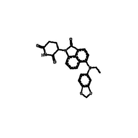 CCN(c1ccc2c(c1)OCO2)c1ccc2c3c(cccc13)N(C1CCC(=O)NC1=O)C2=O